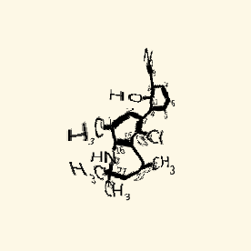 Cc1cc(-c2cccc(C#N)c2O)c(Cl)c2c1NC(C)(C)CC2C